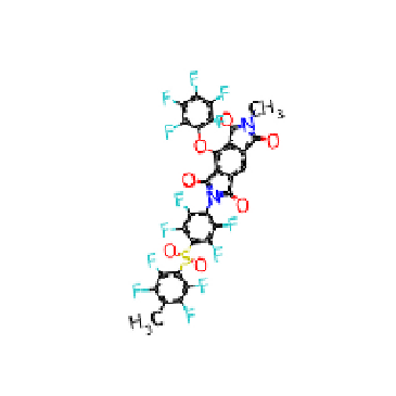 Cc1c(F)c(F)c(S(=O)(=O)c2c(F)c(F)c(-n3c(=O)c4cc5c(=O)n(C)c(=O)c5c(Oc5c(F)c(F)c(F)c(F)c5F)c4c3=O)c(F)c2F)c(F)c1F